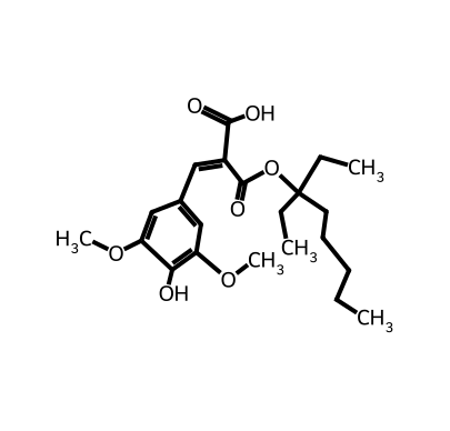 CCCCCC(CC)(CC)OC(=O)C(=Cc1cc(OC)c(O)c(OC)c1)C(=O)O